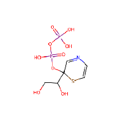 O=P(O)(O)OP(=O)(O)OC1(C(O)CO)C=NC=CS1